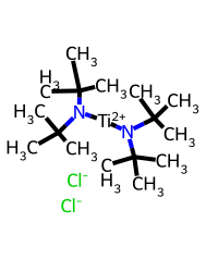 CC(C)(C)[N]([Ti+2][N](C(C)(C)C)C(C)(C)C)C(C)(C)C.[Cl-].[Cl-]